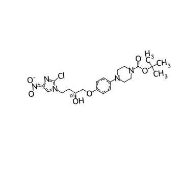 CC(C)(C)OC(=O)N1CCN(c2ccc(OC[C@@H](O)CCn3cc([N+](=O)[O-])nc3Cl)cc2)CC1